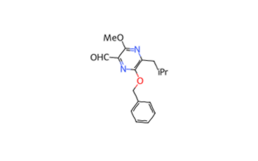 COc1nc(CC(C)C)c(OCc2ccccc2)nc1C=O